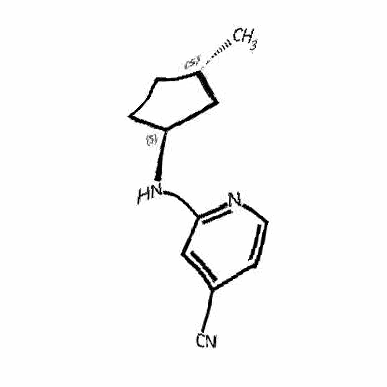 C[C@H]1CC[C@H](Nc2cc(C#N)ccn2)C1